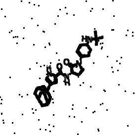 CC(C)(C)N[C@H]1CC[C@H](N2CC[C@H](NC(=O)c3cc(C45CC6CC(CC(C6)C4)C5)c[nH]3)C2=O)CC1